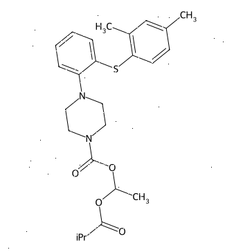 Cc1ccc(Sc2ccccc2N2CCN(C(=O)OC(C)OC(=O)C(C)C)CC2)c(C)c1